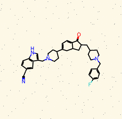 N#Cc1ccc2[nH]cc(CN3CCC(C4=CC=C5C(=O)C(CC6CCN(Cc7ccc(F)cc7)CC6)CC5C4)CC3)c2c1